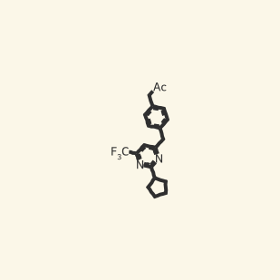 CC(=O)Cc1ccc(Cc2cc(C(F)(F)F)nc(C3CCCC3)n2)cc1